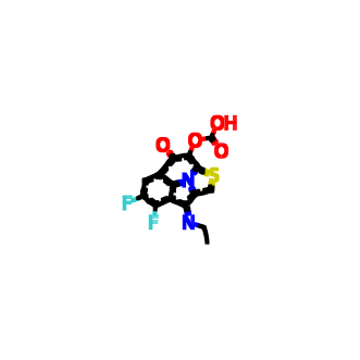 CCN=c1c2c(F)c(F)cc3c(=O)c(OC(=O)O)c4scc1n4c32